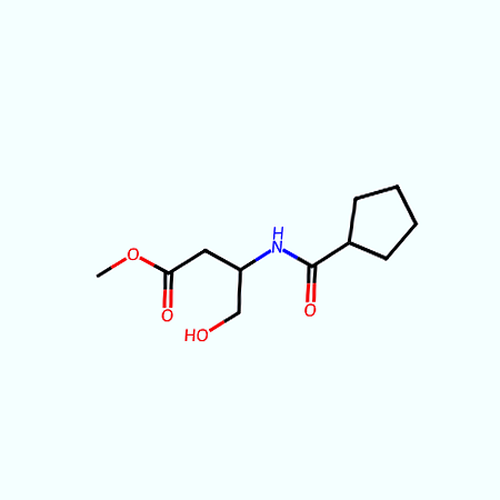 COC(=O)CC(CO)NC(=O)C1CCCC1